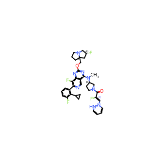 CN(c1nc(OC[C@@]23CCCN2C[C@H](F)C3)nc2c(F)c(-c3cccc(F)c3C3CC3)ncc12)[C@@H]1CCN(C(=O)/C(F)=C/N2C=CC=CN2)C1